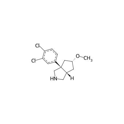 CO[C@@H]1C[C@@H]2CNC[C@]2(c2ccc(Cl)c(Cl)c2)C1